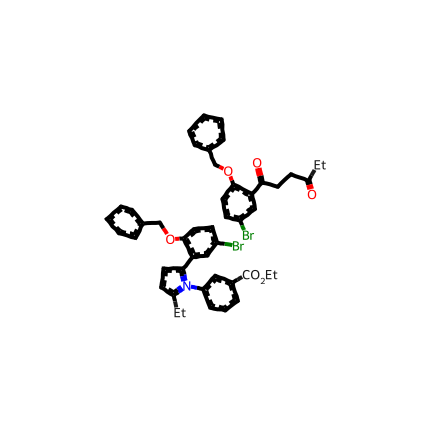 CCC(=O)CCC(=O)c1cc(Br)ccc1OCc1ccccc1.CCOC(=O)c1cccc(-n2c(CC)ccc2-c2cc(Br)ccc2OCc2ccccc2)c1